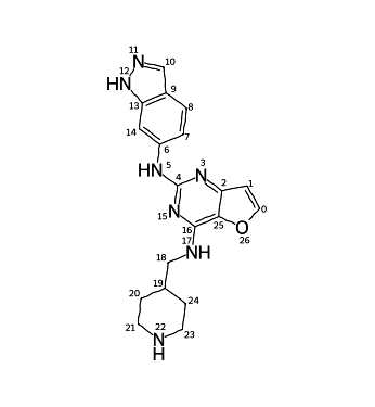 c1cc2nc(Nc3ccc4cn[nH]c4c3)nc(NCC3CCNCC3)c2o1